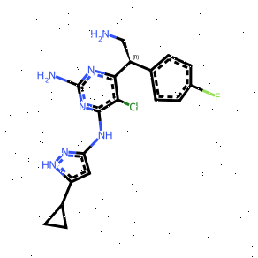 NC[C@@H](c1ccc(F)cc1)c1nc(N)nc(Nc2cc(C3CC3)[nH]n2)c1Cl